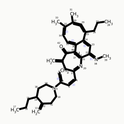 C=C1CC(/C=C\C(=C/C)N2CCC(=C)C(CCC)CC2)=NC(C(/C=C2C(CCC)=C=C(C)/C(C)=C\C=C/2C)=N/C)=CC1=O